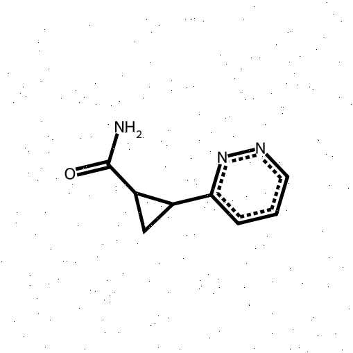 NC(=O)C1CC1c1cccnn1